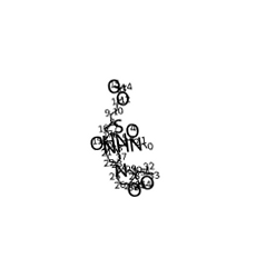 CCNC(=O)Nc1sc(CCCOC(C)=O)cc1C(=O)N1CCC(N2CCCC3(C2)CC(C)(C)OC3=O)CC1